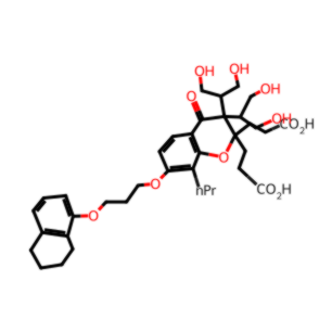 CCCc1c(OCCCOc2cccc3c2CCCC3)ccc2c1OC(CCC(=O)O)(CCC(=O)O)C(C(CO)CO)(C(CO)CO)C2=O